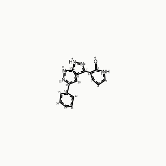 O=c1[nH]cccc1-c1n[nH]c2nnc(-c3ccccc3)cc12